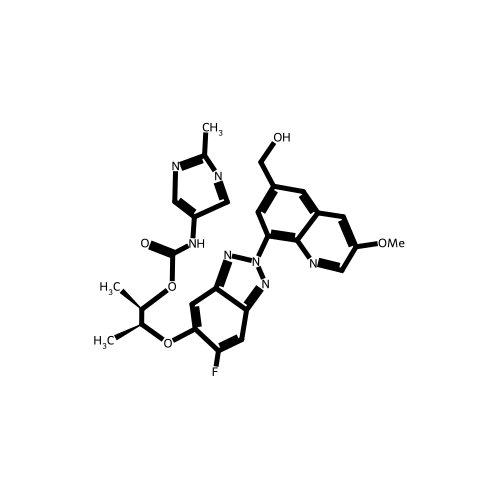 COc1cnc2c(-n3nc4cc(F)c(O[C@@H](C)[C@@H](C)OC(=O)Nc5cnc(C)nc5)cc4n3)cc(CO)cc2c1